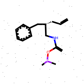 C=CC[C@H](CNC(=C)OI(C)C)Cc1ccccc1